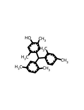 Cc1ccc(C(c2cc(C)ccc2C)c2cc(C)c(O)cc2C)c(C)c1